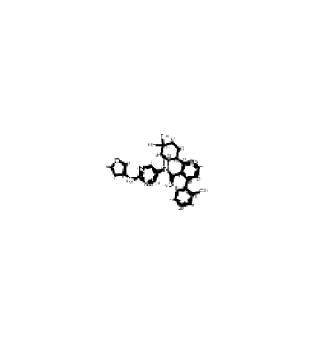 O=C(Nc1cnc(OC2CCOC2)nc1)c1c(-c2ccccc2F)ccnc1C1CCC(F)(F)CC1